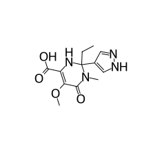 CCC1(c2cn[nH]c2)NC(C(=O)O)=C(OC)C(=O)N1C